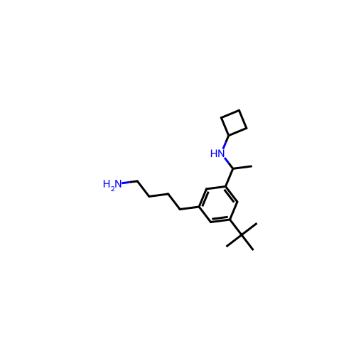 CC(NC1CCC1)c1cc(CCCCN)cc(C(C)(C)C)c1